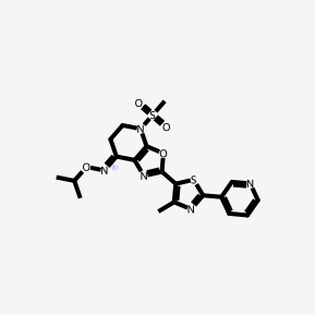 Cc1nc(-c2cccnc2)sc1-c1nc2c(o1)N(S(C)(=O)=O)CC/C2=N\OC(C)C